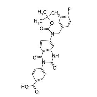 CC(C)(C)OC(=O)N(Cc1ccc(F)cc1)c1ccc2c(=O)n(-c3ccc(C(=O)O)cc3)c(=O)[nH]c2c1